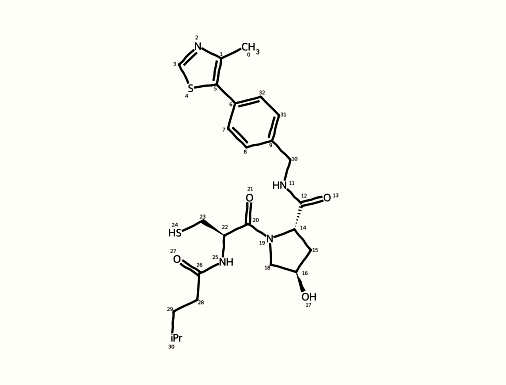 Cc1ncsc1-c1ccc(CNC(=O)[C@@H]2C[C@@H](O)CN2C(=O)[C@H](CS)NC(=O)CCC(C)C)cc1